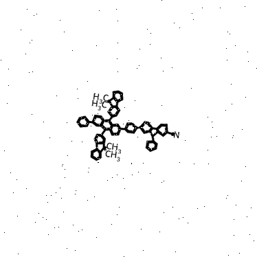 CC1(C)c2ccccc2-c2ccc(-c3c4ccc(-c5ccc(-c6ccc7c(c6)C(c6ccccc6)c6cc(C#N)ccc6-7)cc5)cc4c(-c4ccc5c(c4)C(C)(C)c4ccccc4-5)c4ccc(-c5ccccc5)cc34)cc21